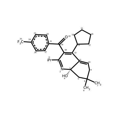 CC(C)C1=N[C@]2(O)CC(C)(C)CC=C2C(C2CCCC2)=C1C(=O)c1ccc(C(F)(F)F)cc1